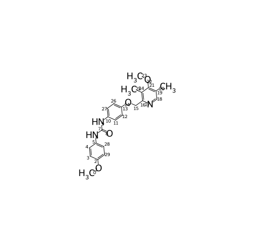 COc1ccc(NC(=O)Nc2ccc(OCc3ncc(C)c(OC)c3C)cc2)cc1